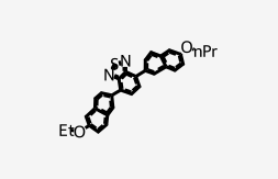 CCCOc1ccc2cc(-c3ccc(-c4ccc5cc(OCC)ccc5c4)c4nsnc34)ccc2c1